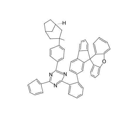 CC1(c2ccc(-c3nc(-c4ccccc4)nc(-c4ccccc4-c4ccc5c(c4)C4(c6ccccc6Oc6ccccc64)c4ccccc4-5)n3)cc2)CC2CC[C@H](C2)C1